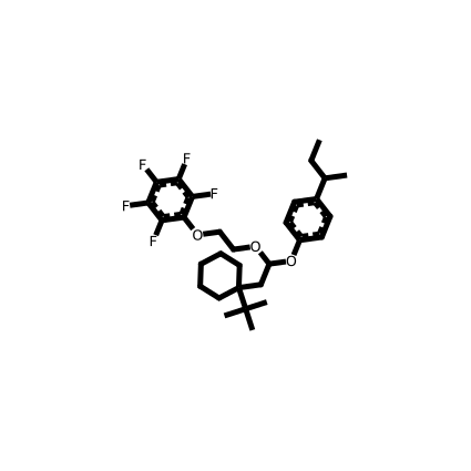 CCC(C)c1ccc(OC(CC2(C(C)(C)C)CCCCC2)OCCOc2c(F)c(F)c(F)c(F)c2F)cc1